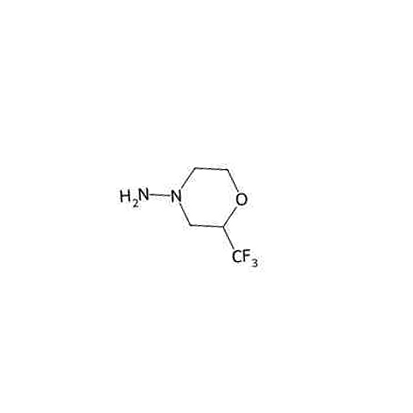 NN1CCOC(C(F)(F)F)C1